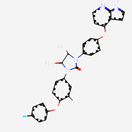 O=C1N(c2ccc(Oc3ccnc4[nH]ccc34)cc2)C(O)C(O)N1c1ccc(Oc2ccc(F)cc2)c(C(F)(F)F)c1